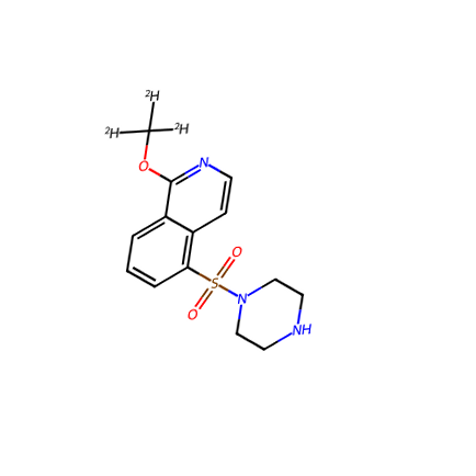 [2H]C([2H])([2H])Oc1nccc2c(S(=O)(=O)N3CCNCC3)cccc12